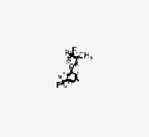 CC(COc1cccc(C(F)(F)F)c1)C(F)(F)F